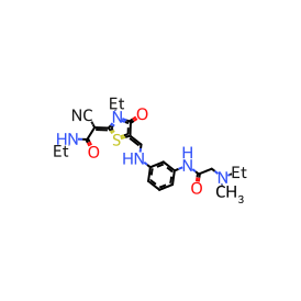 CCNC(=O)C(C#N)=c1sc(=CNc2cccc(NC(=O)CN(C)CC)c2)c(=O)n1CC